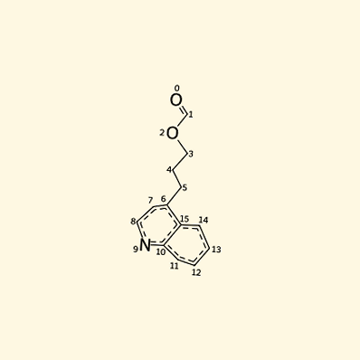 O=COCCCc1ccnc2ccccc12